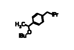 CC[C@@H](C)O[C@@H](C)c1ccc(CC(C)C)cc1